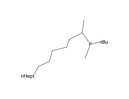 CCCCCCCCCCCCC(C)P(C)CCCC